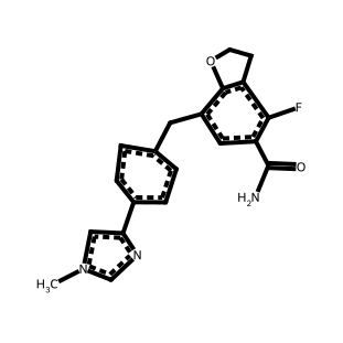 Cn1cnc(-c2ccc(Cc3cc(C(N)=O)c(F)c4c3OCC4)cc2)c1